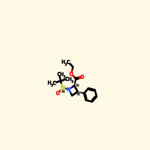 CCOC(=O)[C@H]1[C@H](c2ccccc2)CN1[S@+]([O-])C(C)(C)C